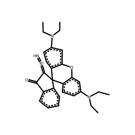 CCN(CC)c1ccc2c(c1)Oc1cc(N(CC)CC)ccc1C21C(=[N+]=N)C(=O)c2ccccc21